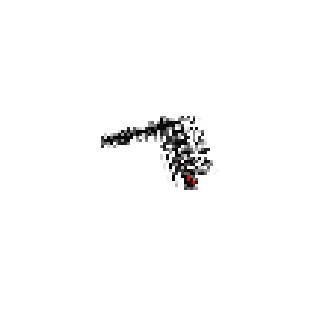 CC[N+](C)(CC)CCOC.CC[N+](C)(CC)CCOC.CC[N+](C)(CC)CCOC.CC[N+](C)(CC)CCOC.CC[N+](C)(CC)CCOC.CC[N+](C)(CC)CCOC.CC[N+](C)(CC)CCOC.CC[N+](C)(CC)CCOC.O=P([O-])([O-])F.O=P([O-])([O-])F.O=P([O-])([O-])F.O=P([O-])([O-])F